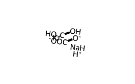 O=C(O)O.O=C([O-])[O-].[H+].[K+].[NaH]